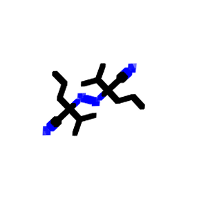 CCCC(C#N)(N=NC(C#N)(CCC)C(C)C)C(C)C